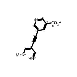 CN/C=C(/C#Cc1cncc(C(=O)O)c1)C=N